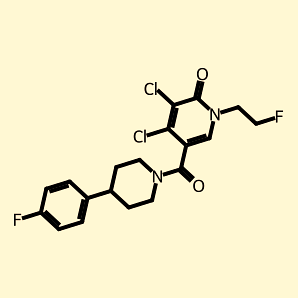 O=C(c1cn(CCF)c(=O)c(Cl)c1Cl)N1CCC(c2ccc(F)cc2)CC1